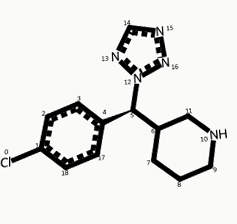 Clc1ccc([C@H](C2CCCNC2)n2ncnn2)cc1